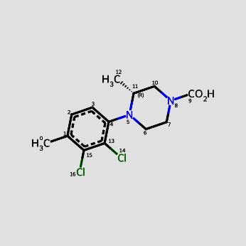 Cc1ccc(N2CCN(C(=O)O)C[C@H]2C)c(Cl)c1Cl